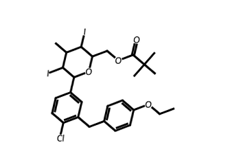 CCOc1ccc(Cc2cc(C3OC(COC(=O)C(C)(C)C)C(I)C(C)C3I)ccc2Cl)cc1